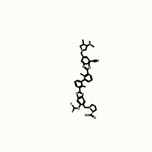 Cc1c(-c2nc3cc(CN4CCC[C@H]4C(=O)O)c(OC(F)F)cc3o2)cccc1-c1cccc(-c2nc3cc(CN4CC(C)C(N(C)C)C4)cc(C#N)c3o2)c1C